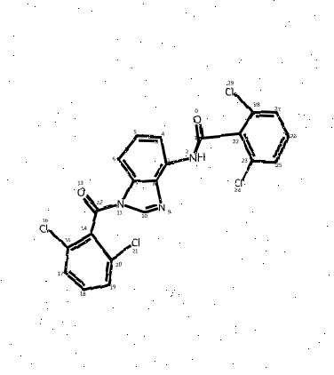 O=C(Nc1cccc2c1ncn2C(=O)c1c(Cl)cccc1Cl)c1c(Cl)cccc1Cl